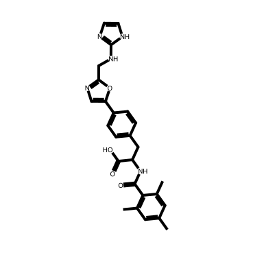 Cc1cc(C)c(C(=O)NC(Cc2ccc(-c3cnc(CNc4ncc[nH]4)o3)cc2)C(=O)O)c(C)c1